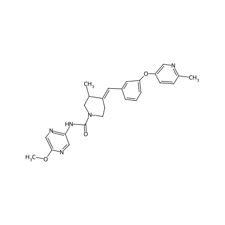 COc1cnc(NC(=O)N2CCC(=Cc3cccc(Oc4ccc(C)nc4)c3)C(C)C2)cn1